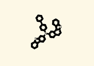 c1ccc(-c2ccc(N(c3ccc4c(c3)sc3ccccc34)c3ccc4ccc5sc6ccccc6c5c4c3)cc2)cc1